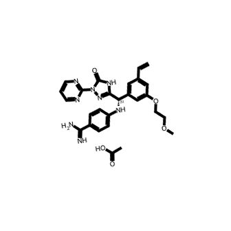 C=Cc1cc(OCCOC)cc([C@H](Nc2ccc(C(=N)N)cc2)c2nn(-c3ncccn3)c(=O)[nH]2)c1.CC(=O)O